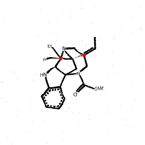 C/C=C1\CN2[C@@H](CC)[C@]34Nc5ccccc5C3(C[C@H]2O4)N(C(=O)OC)C1